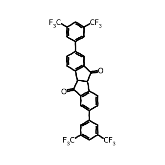 O=C1c2cc(-c3cc(C(F)(F)F)cc(C(F)(F)F)c3)ccc2C2C(=O)c3cc(-c4cc(C(F)(F)F)cc(C(F)(F)F)c4)ccc3C12